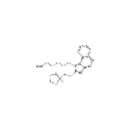 CSCCCCCn1c(CCC2(C)OCCO2)nc2cnc3ccccc3c21